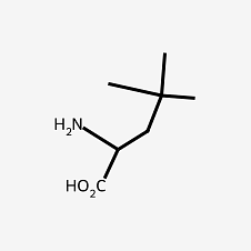 CC(C)(C)CC(N)C(=O)O